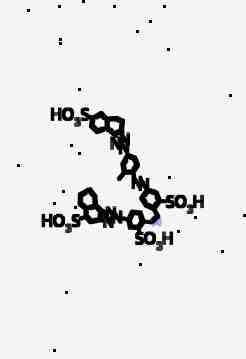 Cc1cc(-n2n3c4ccc5cc(S(=O)(=O)O)ccc5c4n23)ccc1N=Nc1ccc(/C=C\c2ccc(-n3n4c5cc(S(=O)(=O)O)c6ccccc6c5n34)cc2S(=O)(=O)O)c(S(=O)(=O)O)c1